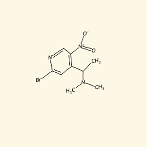 CC(c1cc(Br)ncc1[N+](=O)[O-])N(C)C